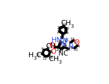 [C-]#[N+]c1c(C(=O)OC2C(C)CC(C)CC2C)c2[nH]c(-c3ccc(C)cc3)nn2c1CN1CCOCC1